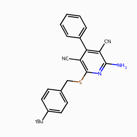 CC(C)(C)c1ccc(CSc2nc(N)c(C#N)c(-c3ccccc3)c2C#N)cc1